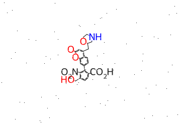 O=C(O)c1ccc(CO)c([N+](=O)[O-])c1-c1ccc2c(CC3CNCCO3)cc(=O)oc2c1